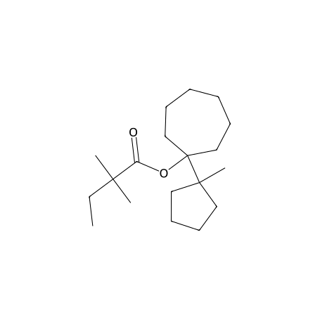 CCC(C)(C)C(=O)OC1(C2(C)CCCC2)CCCCCC1